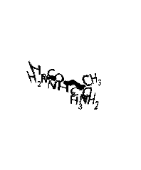 CC(N)(N)OCCC(C)(C)ON